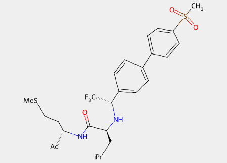 CSCC[C@H](NC(=O)[C@H](CC(C)C)N[C@@H](c1ccc(-c2ccc(S(C)(=O)=O)cc2)cc1)C(F)(F)F)C(C)=O